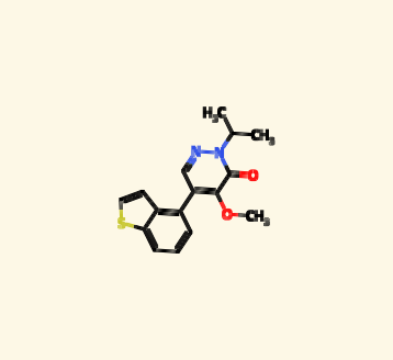 COc1c(-c2cccc3sccc23)cnn(C(C)C)c1=O